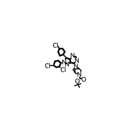 CC(C)(C)OC(=O)N1CC2CC1CN2c1ncnc2c(-c3ccc(Cl)cc3)n(-c3ccc(Cl)cc3Cl)nc12